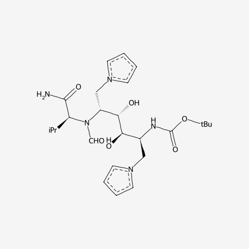 CC(C)[C@@H](C(N)=O)N(C=O)[C@H](Cn1cccc1)[C@H](O)[C@H](O)[C@H](Cn1cccc1)NC(=O)OC(C)(C)C